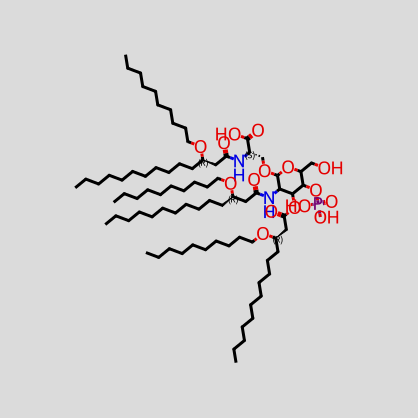 CCCCCCCCCCC[C@H](CC(=O)NC1C(OC[C@H](NC(=O)C[C@@H](CCCCCCCCCCC)OCCCCCCCCCC)C(=O)O)OC(CO)C(OP(=O)(O)O)C1OC(=O)C[C@@H](CCCCCCCCCCC)OCCCCCCCCCC)OCCCCCCCCCC